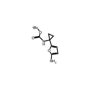 CC(C)(C)OC(=O)NC1(c2ccc(N)o2)CC1